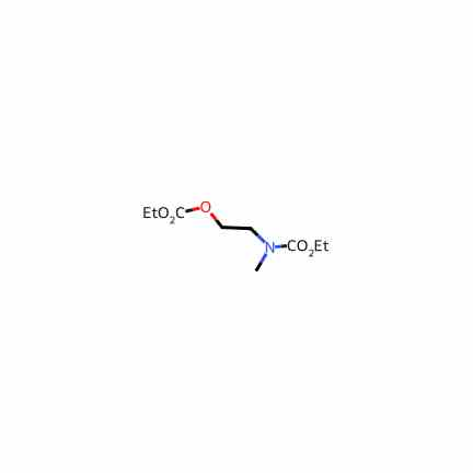 CCOC(=O)OCCN(C)C(=O)OCC